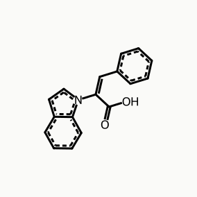 O=C(O)C(=Cc1ccccc1)n1ccc2ccccc21